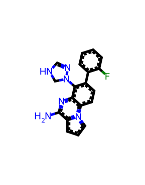 Nc1nc2c(N3CNC=N3)c(-c3ccccc3F)ccc2n2cccc12